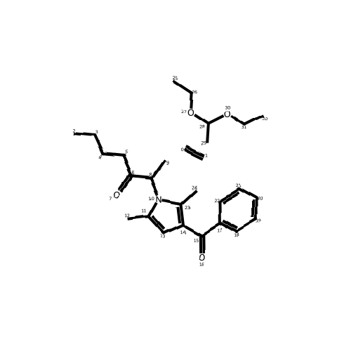 C=C.CCCCC(=O)C(C)n1c(C)cc(C(=O)c2ccccc2)c1C.CCOC(C)OCC